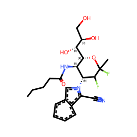 CCCCC(=O)N[C@H]1[C@H]([C@H](O)[C@H](O)CO)OC(C)(F)C(F)[C@@H]1n1cc2ccccc2c1C#N